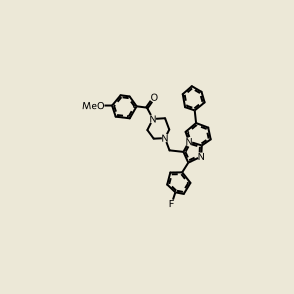 COc1ccc(C(=O)N2CCN(Cc3c(-c4ccc(F)cc4)nc4ccc(-c5ccccc5)cn34)CC2)cc1